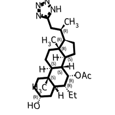 CC[C@H]1[C@@H](OC(C)=O)[C@@H]2[C@H](CC[C@]3(C)[C@@H]([C@H](C)Cc4nnn[nH]4)CC[C@@H]23)[C@@]2(C)CC[C@@H](O)C[C@@H]12